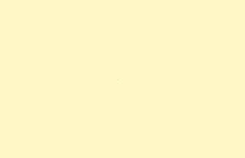 c1ccc2c(c1)COC2(C1CCCCC1)C1CCCCC1